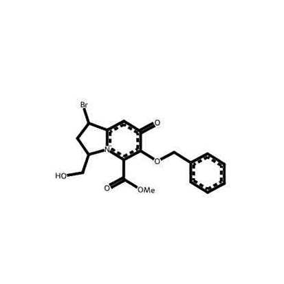 COC(=O)c1c(OCc2ccccc2)c(=O)cc2n1C(CO)CC2Br